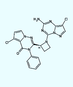 Nc1nc(N2CC[C@H]2c2nn3ccc(Cl)c3c(=O)n2-c2ccccc2)n2ncc(Cl)c2n1